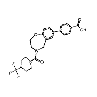 O=C(O)c1ccc(-c2ccc3c(c2)CN(C(=O)N2CCC(C(F)(F)F)CC2)CCO3)cc1